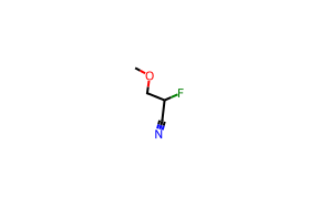 COCC(F)C#N